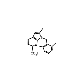 Cc1cccc(C)c1Cn1c(C)cc2ccc(C(=O)O)cc21